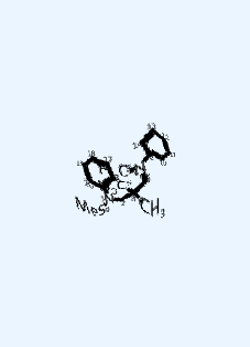 CSN(CC(C)(C)CN(C)c1ccccc1)c1ccccc1